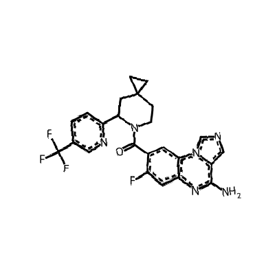 Nc1nc2cc(F)c(C(=O)N3CCC4(CC4)CC3c3ccc(C(F)(F)F)cn3)cc2n2cncc12